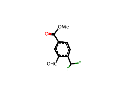 COC(=O)c1ccc(C(F)F)c(C=O)c1